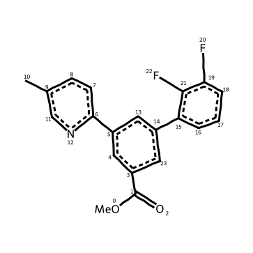 COC(=O)c1cc(-c2ccc(C)cn2)cc(-c2cccc(F)c2F)c1